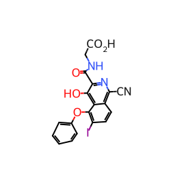 N#Cc1nc(C(=O)NCC(=O)O)c(O)c2c(Oc3ccccc3)c(I)ccc12